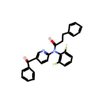 O=C(c1ccccc1)c1ccc(N(C(=O)CCc2ccccc2)c2c(F)cccc2F)nc1